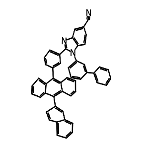 N#Cc1ccc2c(c1)nc(-c1cccc(-c3c4ccccc4c(-c4ccc5ccccc5c4)c4ccccc34)c1)n2-c1cccc(-c2ccccc2)c1